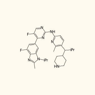 Cc1nc(Nc2ncc(F)c(-c3cc(F)c4nc(C)n(C(C)C)c4c3)n2)ccc1C(C(C)C)C1CCNCC1